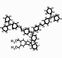 CCCCCCC1(CCCCCC)c2ccccc2-c2ccc(N(c3ccc(C=Cc4ccc(N(c5ccccc5)c5ccccc5)cc4)cc3)c3ccc(C=Cc4ccc(N(c5ccccc5)c5ccccc5)cc4)cc3)cc21